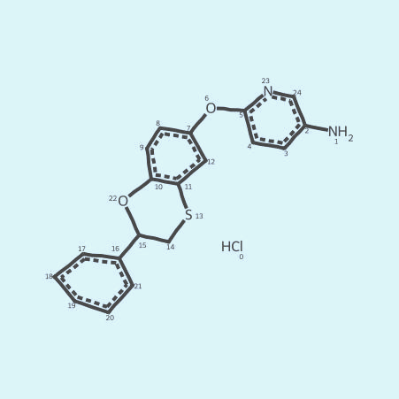 Cl.Nc1ccc(Oc2ccc3c(c2)SCC(c2ccccc2)O3)nc1